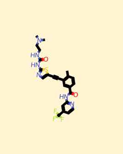 Cc1ccc(C(=O)Nc2cc(C(F)(F)F)ccn2)cc1C#Cc1cnc(NC(=O)NCCN(C)C)s1